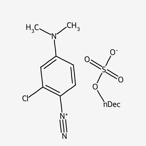 CCCCCCCCCCOS(=O)(=O)[O-].CN(C)c1ccc([N+]#N)c(Cl)c1